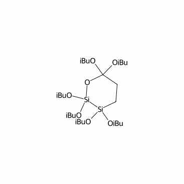 CC(C)COC1(OCC(C)C)CC[Si](OCC(C)C)(OCC(C)C)[Si](OCC(C)C)(OCC(C)C)O1